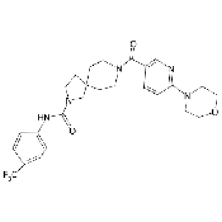 O=C(Nc1ccc(C(F)(F)F)cc1)N1CCC2(CCN(C(=O)c3ccc(N4CCOCC4)nc3)CC2)C1